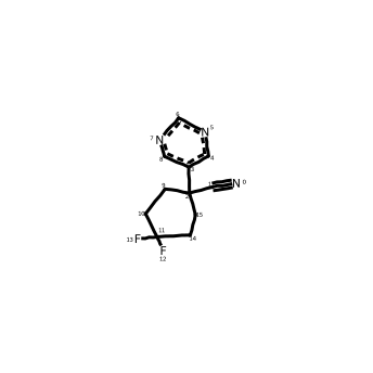 N#CC1(c2cncnc2)CCC(F)(F)CC1